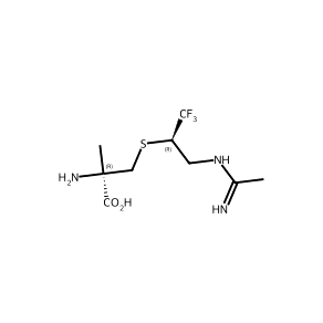 CC(=N)NC[C@@H](SC[C@](C)(N)C(=O)O)C(F)(F)F